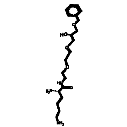 NCCCC[C@H](N)C(=O)NCCOCCOC[C@H](O)COCc1ccccc1